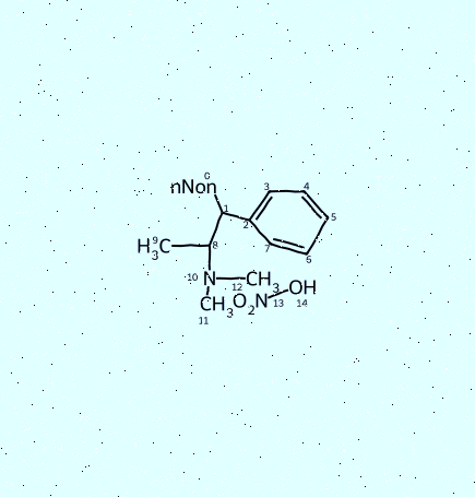 CCCCCCCCCC(c1ccccc1)C(C)N(C)C.O=[N+]([O-])O